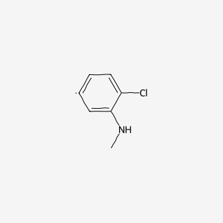 CNc1c[c]ccc1Cl